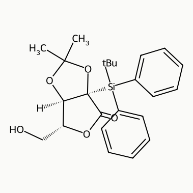 CC1(C)O[C@@H]2[C@@H](CO)OC(=O)[C@]2([Si](c2ccccc2)(c2ccccc2)C(C)(C)C)O1